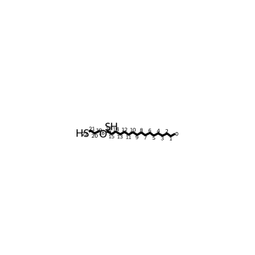 CCCCCCCCCCCCCCCCC(S)OCCCS